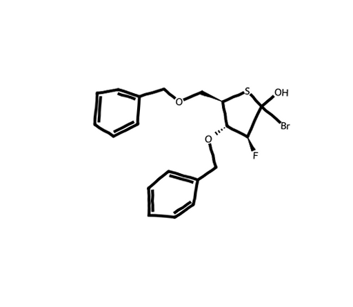 OC1(Br)S[C@H](COCc2ccccc2)[C@@H](OCc2ccccc2)[C@@H]1F